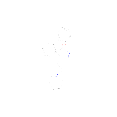 CN(C)C(=O)C1(CCCN2CCCCC2)CC=CCC1c1ccccc1